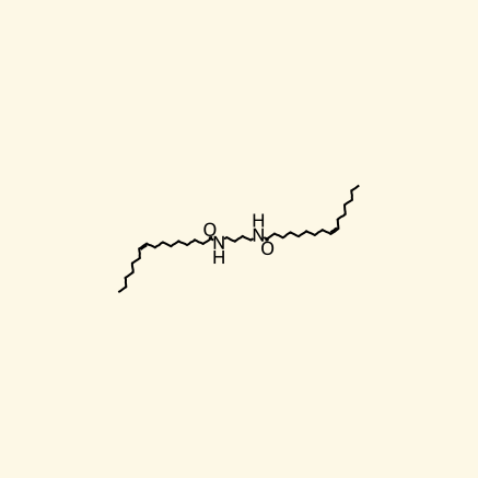 CCCCCC/C=C\CCCCCCCC(=O)NCCCCNC(=O)CCCCCCC/C=C\CCCCCC